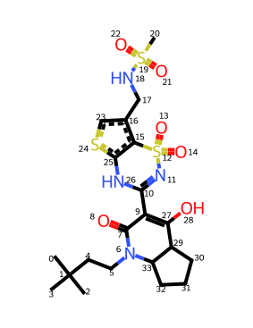 CC(C)(C)CCN1C(=O)C(C2=NS(=O)(=O)c3c(CNS(C)(=O)=O)csc3N2)=C(O)C2CCCC21